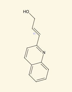 OC/C=C/c1ccc2ccccc2n1